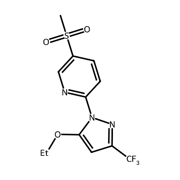 CCOc1cc(C(F)(F)F)nn1-c1ccc(S(C)(=O)=O)cn1